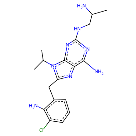 CC(N)CNc1nc(N)c2nc(Cc3cccc(Cl)c3N)n(C(C)C)c2n1